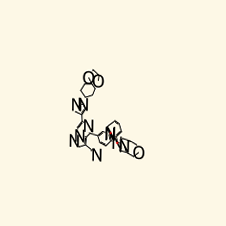 N#Cc1cnn2cc(-c3cnn(C4CCC5(CC4)OCCO5)c3)nc(-c3ccc(N4CC5COCC(C4)N5Cc4ccccn4)nc3)c12